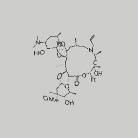 C=CCN1C[C@H](C)C[C@](C)(O)[C@H](O[C@@H]2O[C@H](C)C[C@H](N(C)C)[C@H]2O)[C@@H](C)[C@H](O[C@H]2C[C@@](C)(OC)[C@@H](O)[C@H](C)O2)[C@@H](C)C(=O)O[C@H](CC)[C@@](C)(O)C[C@@H]1C